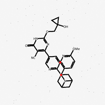 COc1ccc(CN2C3CC2CN(c2ccc(-c4nc(OCC5(O)CC5)[nH]c(=O)c4C#N)cn2)C3)cn1